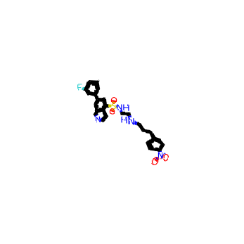 O=[N+]([O-])c1ccc(CCCNCCNS(=O)(=O)c2cc(-c3cccc(F)c3)cc3cnccc23)cc1